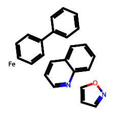 [Fe].c1ccc(-c2ccccc2)cc1.c1ccc2ncccc2c1.c1cnoc1